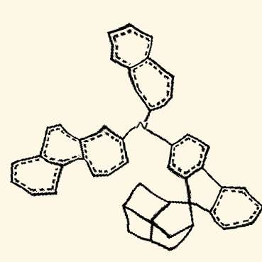 c1ccc2c(c1)-c1ccc(N(c3ccc4ccccc4c3)c3ccc4c(ccc5ccccc54)c3)cc1C21C2CC3CC(C2)CC1C3